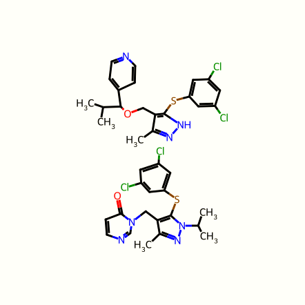 Cc1n[nH]c(Sc2cc(Cl)cc(Cl)c2)c1COC(c1ccncc1)C(C)C.Cc1nn(C(C)C)c(Sc2cc(Cl)cc(Cl)c2)c1Cn1cnccc1=O